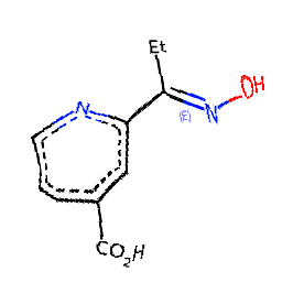 CC/C(=N\O)c1cc(C(=O)O)ccn1